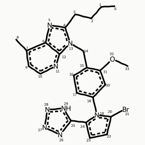 CCCCc1nc2c(C)ccnc2n1Cc1ccc(-n2c(Br)ccc2-c2nnn[nH]2)cc1OC